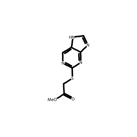 COC(=O)CSc1ncc2[nH]cnc2n1